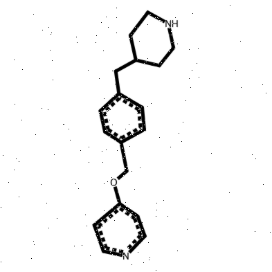 c1cc(OCc2ccc(CC3CCNCC3)cc2)ccn1